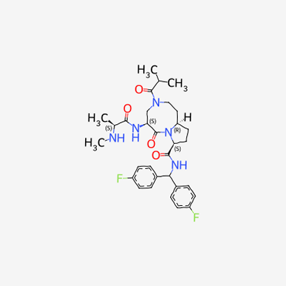 CN[C@@H](C)C(=O)N[C@H]1CN(C(=O)C(C)C)CC[C@H]2CC[C@@H](C(=O)NC(c3ccc(F)cc3)c3ccc(F)cc3)N2C1=O